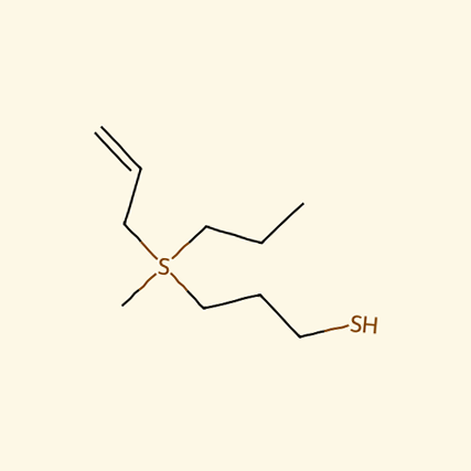 C=CCS(C)(CCC)CCCS